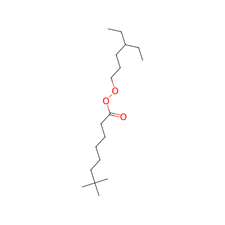 CCC(CC)CCCOOC(=O)CCCCCC(C)(C)C